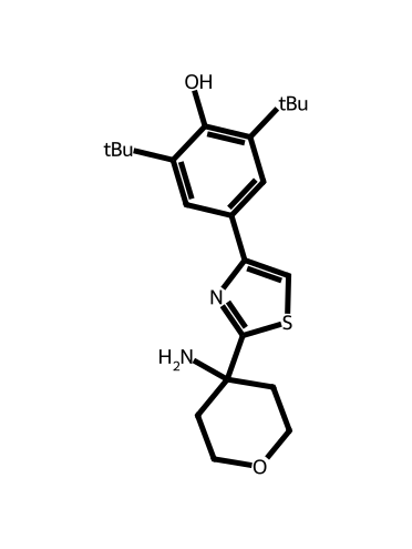 CC(C)(C)c1cc(-c2csc(C3(N)CCOCC3)n2)cc(C(C)(C)C)c1O